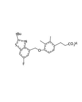 Cc1c(CCC(=O)O)ccc(OCc2cc(F)cc3sc(C(C)(C)C)nc23)c1C